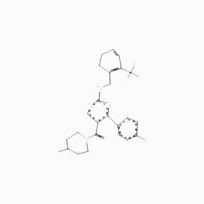 Cc1ccc(-c2nc(NCC3=C(C(F)(F)F)C=CCC3)ncc2C(=O)N2CCC(C)CC2)cc1